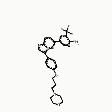 Nc1ncc(-c2ccc3ncc(-c4ccc(OCCCN5CCOCC5)cc4)n3n2)cc1C(F)(F)F